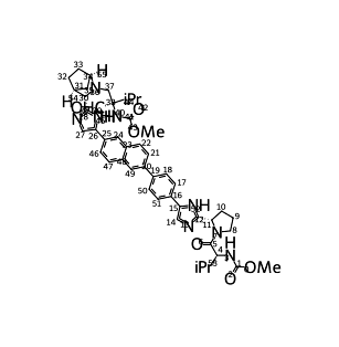 COC(=O)N[C@H](C(=O)N1CCC[C@H]1c1ncc(-c2ccc(-c3ccc4cc(-c5cnc([C@@H]6[C@H]7CC[C@H](C7)N6C[C@](C=O)(NC(=O)OC)C(C)C)[nH]5)ccc4c3)cc2)[nH]1)C(C)C